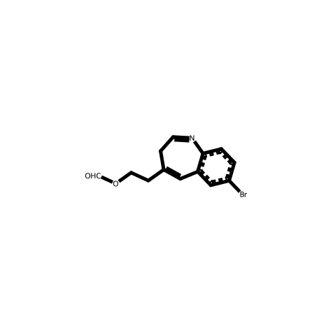 O=COCCC1=Cc2cc(Br)ccc2N=CC1